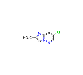 O=C(O)c1cn2ncc(Cl)cc2n1